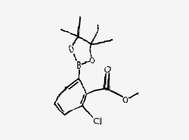 COC(=O)c1c(Cl)cccc1B1OC(C)(C)C(C)(C)O1